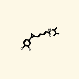 CC(C)C(C)NC(=O)/C=C/C=C/C1CC1c1ccc(Cl)c(Br)c1